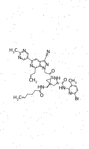 C=CCCCC(=O)NC[C@]12C[C@@H](C(=O)Nc3nc(Br)ccc3C)N[C@]1(C(=O)Cn1nc(C#N)c3cc(-c4cnc(C)nc4)nc(CC=C)c31)C2